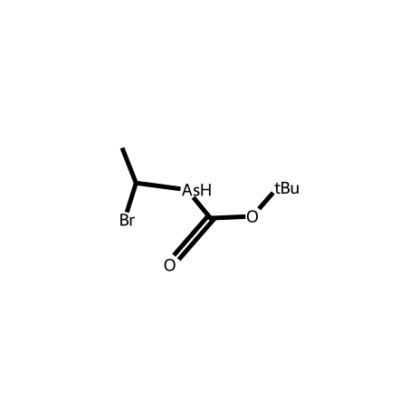 CC(Br)[AsH]C(=O)OC(C)(C)C